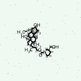 CC[C@H]1[C@@H](O)C2[C@@H]3CC[C@H]([C@H](C)CCOC(=O)N4CCC[C@H](CO)C4)[C@@]3(C)CC[C@@H]2[C@@]2(C)CC[C@@H](O)C[C@@H]12